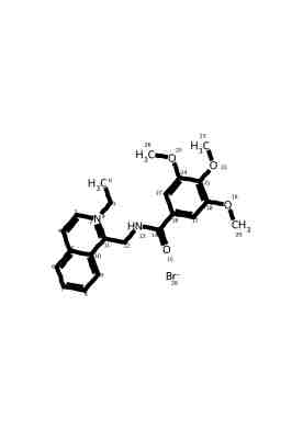 CC[n+]1ccc2ccccc2c1CNC(=O)c1cc(OC)c(OC)c(OC)c1.[Br-]